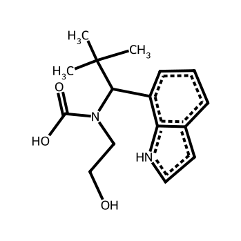 CC(C)(C)C(c1cccc2cc[nH]c12)N(CCO)C(=O)O